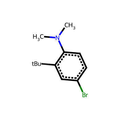 CN(C)c1ccc(Br)cc1C(C)(C)C